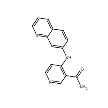 NC(=O)c1cnccc1Nc1ccc2cccnc2c1